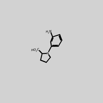 Nc1cccc(N2CCCC2C(=O)O)c1